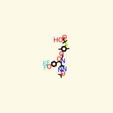 Cc1cc(SC(C)(C)C(=O)O)c(C)cc1OCc1nc(-c2cnc(OC(C)C)nc2)c(-c2ccc(OC(F)(F)F)cc2)o1